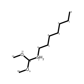 CCCCCCC[SiH2]C(OC)OC